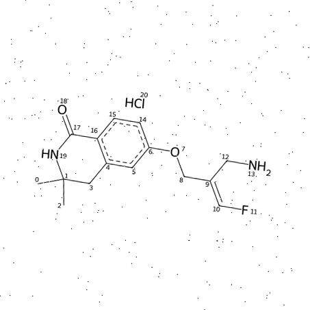 CC1(C)Cc2cc(OC/C(=C/F)CN)ccc2C(=O)N1.Cl